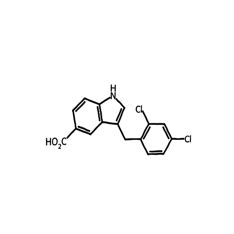 O=C(O)c1ccc2[nH]cc(Cc3ccc(Cl)cc3Cl)c2c1